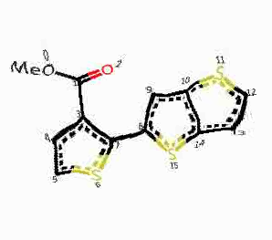 COC(=O)c1ccsc1-c1cc2sccc2s1